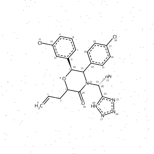 C=CCC1O[C@@H](c2cccc(Cl)c2)C(c2ccc(Cl)cc2)N([C@H](CCC)c2nnn[nH]2)C1=O